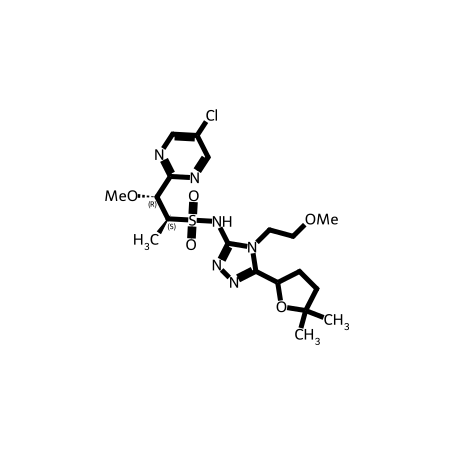 COCCn1c(NS(=O)(=O)[C@@H](C)[C@H](OC)c2ncc(Cl)cn2)nnc1C1CCC(C)(C)O1